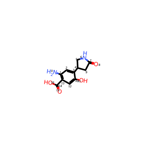 Nc1cc(C2CNC(=O)C2)c(O)cc1C(=O)O